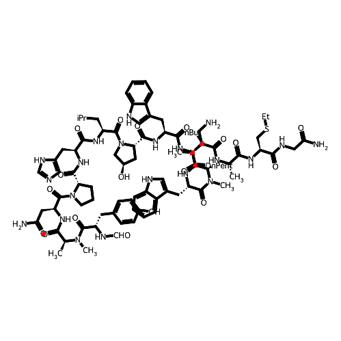 CCCCC[C@@H](C(=O)N(C)[C@@H](CCCC)C(=O)N[C@@H](C)C(=O)N[C@@H](CSCC)C(=O)NCC(N)=O)N(C)C(=O)[C@H](Cc1c[nH]c2ccccc12)NC(=O)[C@H](CCN)NC(=O)[C@H](Cc1c[nH]c2ccccc12)NC(=O)[C@@H]1C[C@@H](O)CN1C(=O)[C@H](CC(C)C)NC(=O)[C@H](Cc1cnc[nH]1)NC(=O)[C@@H]1CCCN1C(=O)[C@H](CC(N)=O)NC(=O)[C@H](C)N(C)C(=O)[C@H](Cc1ccc(O)cc1)NC=O